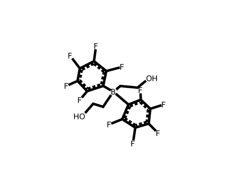 OCC[B-](CCO)(c1c(F)c(F)c(F)c(F)c1F)c1c(F)c(F)c(F)c(F)c1F